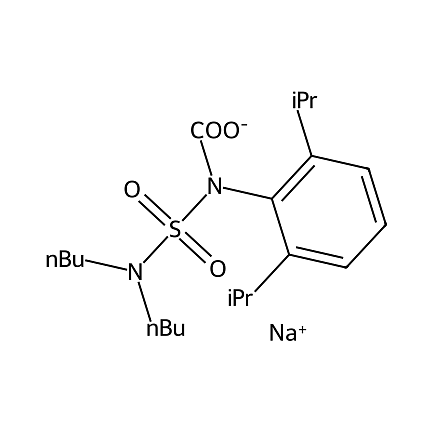 CCCCN(CCCC)S(=O)(=O)N(C(=O)[O-])c1c(C(C)C)cccc1C(C)C.[Na+]